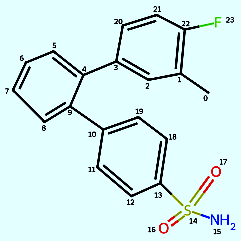 Cc1cc(-c2ccccc2-c2ccc(S(N)(=O)=O)cc2)ccc1F